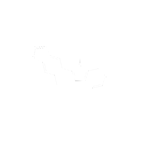 Cc1cc2[nH]ncc2cc1-c1cc2cc(Cl)ncc2n1C